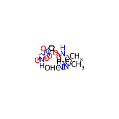 CC(C)(CCNC(=O)COc1cccc2c1C(=O)N(C1CCC(=O)NC1=O)C2=O)CC(C)(C)CN1CCN(C=O)CC1